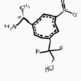 C[C@@H](N)c1cc([N+](=O)[O-])cc(C(F)(F)F)c1.Cl